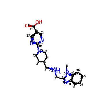 Cn1c(CNCC2CCN(c3ncc(C(=O)O)cn3)CC2)nc2ccccc21